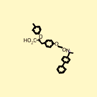 C/C(=N/OCCOc1ccc(C[C@H](Oc2ccc(C)cc2)C(=O)O)cc1)c1ccc(-c2ccccc2)cc1